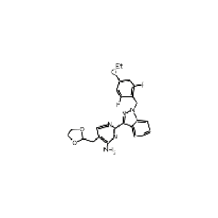 CCOc1cc(F)c(Cn2nc(-c3ncc(CC4OCCO4)c(N)n3)c3ccccc32)c(F)c1